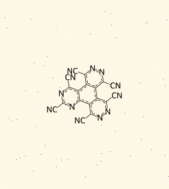 N#Cc1nc(C#N)c2c(n1)c1c(C#N)nnc(C#N)c1c1c(C#N)nnc(C#N)c21